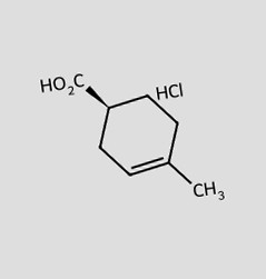 CC1=CC[C@@H](C(=O)O)CC1.Cl